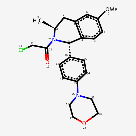 COc1ccc2c(c1)C[C@H](C)N(C(=O)CCl)[C@H]2c1ccc(N2CCOCC2)cc1